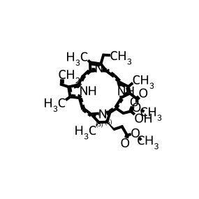 C=Cc1c(C)c2cc3nc(c(CC(=O)O)c4[nH]c(cc5nc(cc1[nH]2)C(C)=C5CC)c(C)c4C(=O)OC)[C@@H](CCC(=O)OC)[C@@H]3C